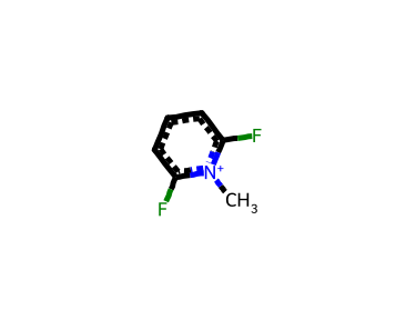 C[n+]1c(F)cccc1F